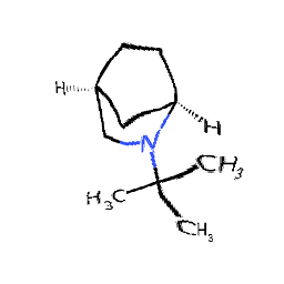 CC(C)(C)N1C[C@H]2CC[C@@H]1C2